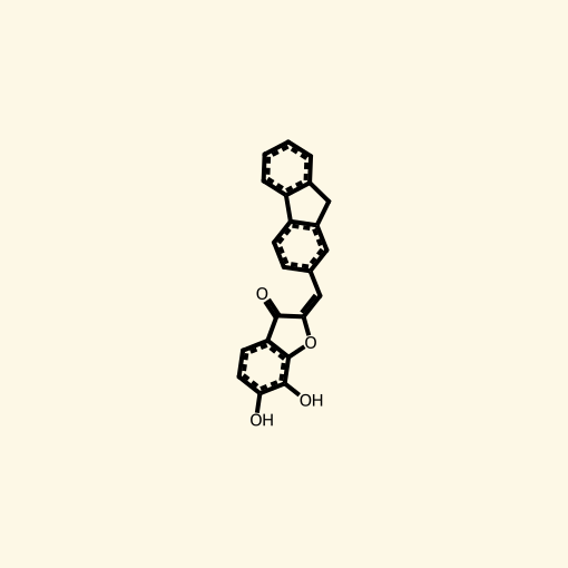 O=C1C(=Cc2ccc3c(c2)Cc2ccccc2-3)Oc2c1ccc(O)c2O